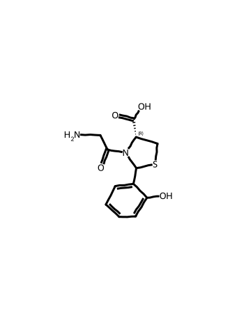 NCC(=O)N1C(c2ccccc2O)SC[C@H]1C(=O)O